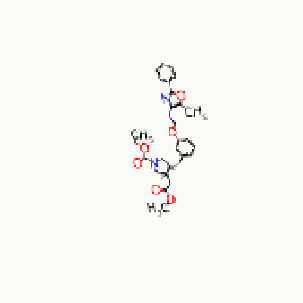 CCOC(=O)N1C[C@H](CC(=O)OC)[C@@H](Cc2cccc(OCCc3nc(-c4ccccc4)oc3C)c2)C1